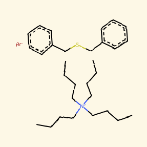 CCCC[N+](CCCC)(CCCC)CCCC.[Br-].c1ccc(CSCc2ccccc2)cc1